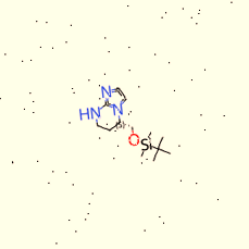 CC(C)(C)[Si](C)(C)OC[C@@H]1CCNc2nccn21